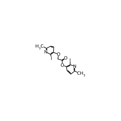 Cc1ccc(OCC(=O)Oc2ccc(C)nc2I)c(I)n1